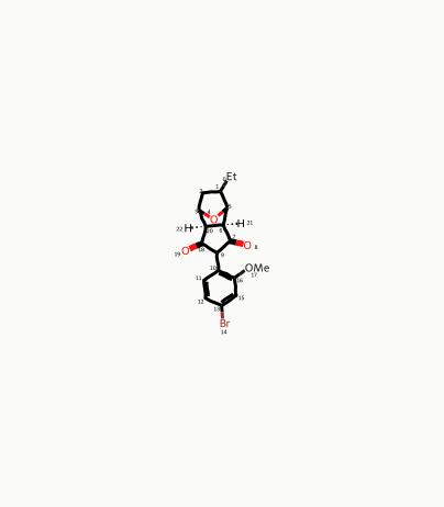 CCC1CC2OC1[C@H]1C(=O)C(c3ccc(Br)cc3OC)C(=O)[C@@H]21